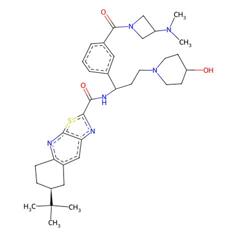 CN(C)C1CN(C(=O)c2cccc(C(CCN3CCC(O)CC3)NC(=O)c3nc4cc5c(nc4s3)CC[C@H](C(C)(C)C)C5)c2)C1